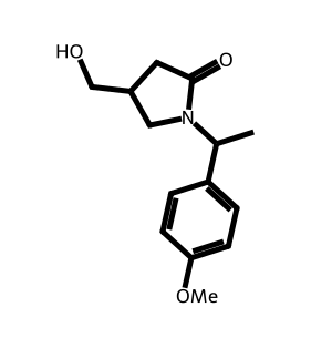 COc1ccc(C(C)N2CC(CO)CC2=O)cc1